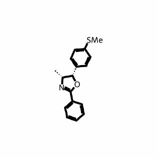 CSc1ccc([C@@H]2OC(c3ccccc3)=N[C@@H]2C)cc1